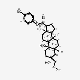 CCOC[C@@]1(O)CC[C@@]2(C)[C@H](CC[C@@H]3[C@@H]2CC[C@]2(C)C([C@@H](CC)Nc4ccc(C#N)nc4)CC[C@@H]32)C1